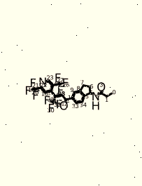 CCC(=O)NC1CCc2cc(C(=O)C=C(c3cc(C(F)(F)F)ncc3C(F)(F)F)C(F)(F)F)ccc21